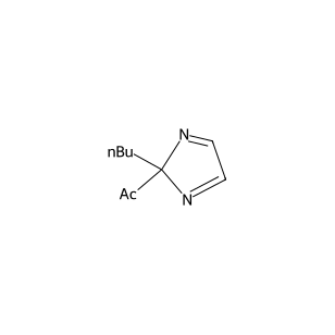 [CH2]C(=O)C1(CCCC)N=CC=N1